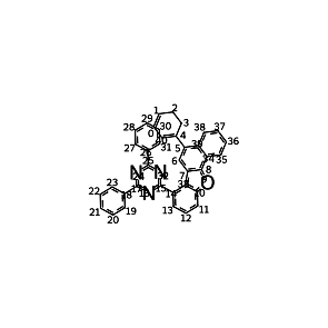 C1=CCCC(c2cc3c(oc4cccc(-c5nc(-c6ccccc6)nc(-c6ccccc6)n5)c43)c3ccccc23)=C1